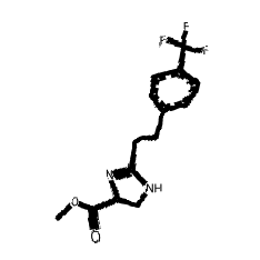 COC(=O)C1CNC(CCc2ccc(C(F)(F)F)cc2)=N1